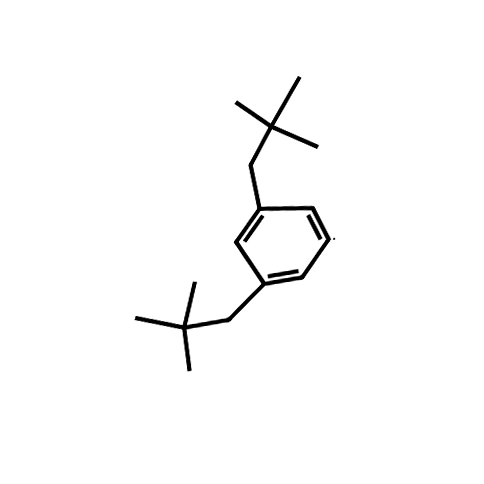 CC(C)(C)Cc1c[c]cc(CC(C)(C)C)c1